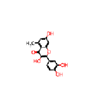 Cc1cc(O)cc2oc(-c3ccc(O)c(O)c3)c(O)c(=O)c12